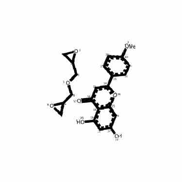 C(OCC1CO1)C1CO1.COc1ccc(-c2cc(=O)c3c(O)cc(O)cc3o2)cc1